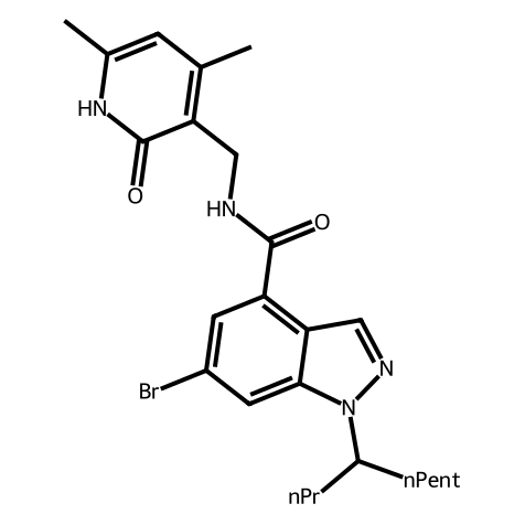 CCCCCC(CCC)n1ncc2c(C(=O)NCc3c(C)cc(C)[nH]c3=O)cc(Br)cc21